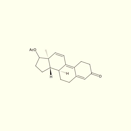 CC(=O)OC1CC[C@H]2[C@@H]3CCC4=CC(=O)CCC4=C3C=C[C@]12C